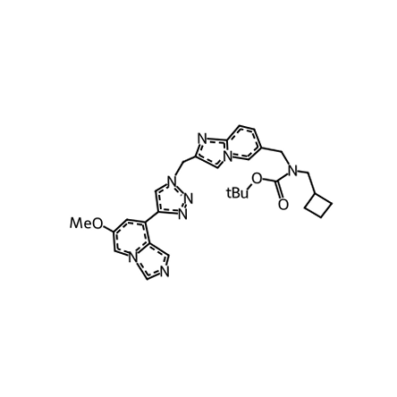 COc1cc(-c2cn(Cc3cn4cc(CN(CC5CCC5)C(=O)OC(C)(C)C)ccc4n3)nn2)c2cncn2c1